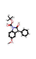 COc1ccc2c(c1)C(c1ccccc1)C(=O)N2C(=O)OC(C)(C)C